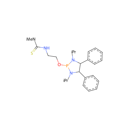 CNC(=S)NCCOP1N(C(C)C)C(c2ccccc2)C(c2ccccc2)N1C(C)C